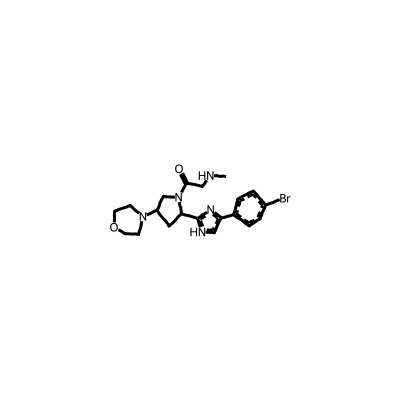 CNCC(=O)N1CC(N2CCOCC2)CC1c1nc(-c2ccc(Br)cc2)c[nH]1